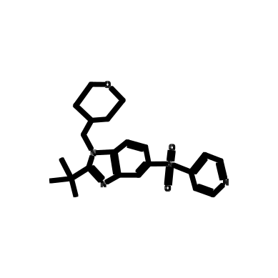 CC(C)(C)c1nc2cc(S(=O)(=O)c3ccncc3)ccc2n1CC1CCOCC1